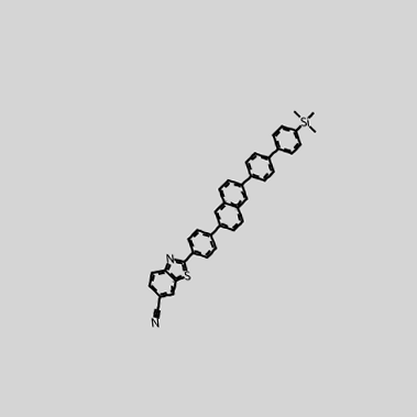 C[Si](C)(C)c1ccc(-c2ccc(-c3ccc4cc(-c5ccc(-c6nc7ccc(C#N)cc7s6)cc5)ccc4c3)cc2)cc1